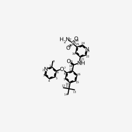 Cc1ncccc1Oc1cc(C(C)(C)C)ccc1C(=O)Nc1cncc(S(N)(=O)=O)c1